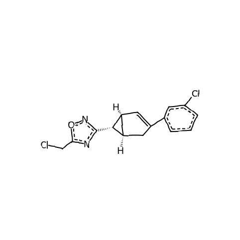 ClCc1nc([C@@H]2[C@H]3C=C(c4cccc(Cl)c4)C[C@H]32)no1